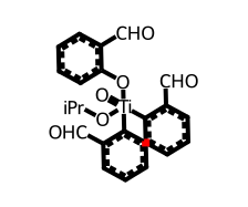 CC(C)[O][Ti](=[O])([O]c1ccccc1C=O)([c]1ccccc1C=O)[c]1ccccc1C=O